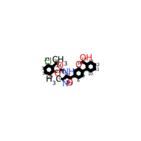 Cc1noc(-c2ccc(-c3ccccc3C(=O)O)cc2)c1NC(=O)OC(C)c1ccccc1Cl